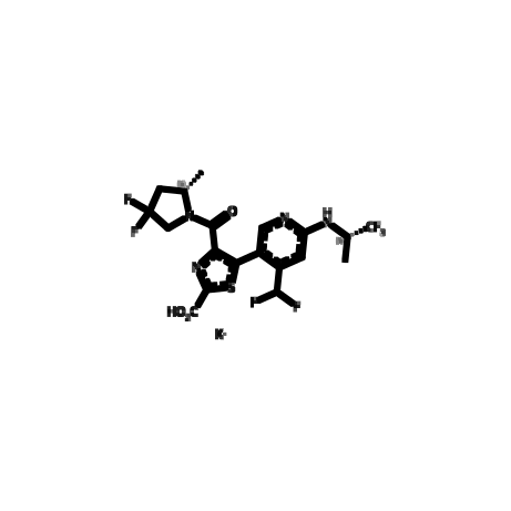 C[C@H](Nc1cc(C(F)F)c(-c2sc(C(=O)O)nc2C(=O)N2CC(F)(F)C[C@@H]2C)cn1)C(F)(F)F.[K]